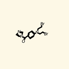 O=C(c1ccc(N(CCBr)CCBr)cc1)n1ccnc1